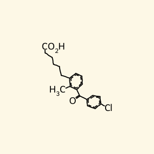 Cc1c(CCCCCC(=O)O)cccc1C(=O)c1ccc(Cl)cc1